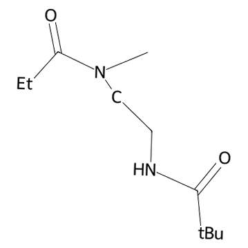 CCC(=O)N(C)CCNC(=O)C(C)(C)C